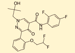 CC(C)(O)Cn1cc(C(=O)Nc2ccc(F)cc2F)c(=O)c(-c2ccccc2OCC(F)F)n1